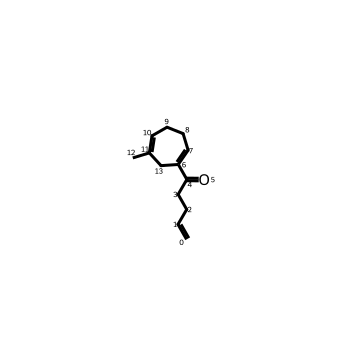 C=CCCC(=O)C1=CCCC=C(C)C1